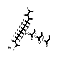 CC(C(=O)O)C(F)C(F)(F)C(F)(F)C(F)(F)C(F)(F)C(F)(F)C(F)(F)C(F)C(F)C(F)F.CCC(=O)O.CCC(=O)O.CCC(=O)O